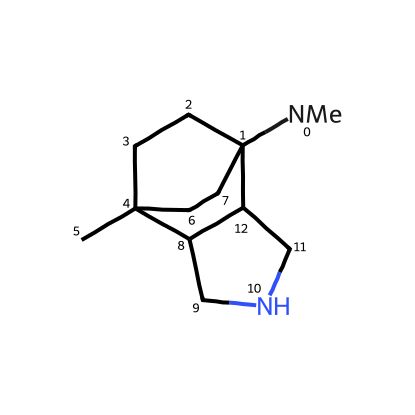 CNC12CCC(C)(CC1)C1CNCC12